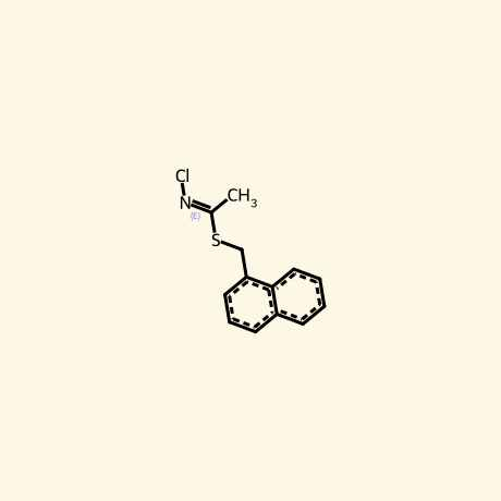 C/C(=N\Cl)SCc1cccc2ccccc12